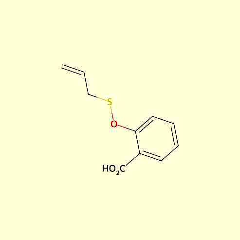 C=CCSOc1ccccc1C(=O)O